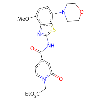 CCOC(=O)Cn1ccc(C(=O)Nc2nc3c(OC)ccc(N4CCOCC4)c3s2)cc1=O